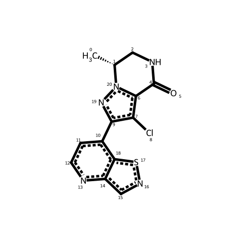 C[C@@H]1CNC(=O)c2c(Cl)c(-c3ccnc4cnsc34)nn21